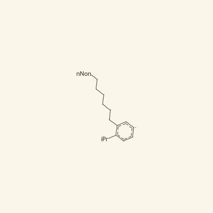 CCCCCCCCCCCCCCCc1c[c]ccc1C(C)C